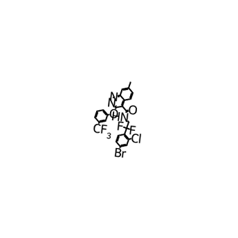 Cc1ccc2c(C(=O)NCC(F)(F)c3ccc(Br)cc3Cl)c(Oc3cccc(C(F)(F)F)c3)nnc2c1